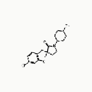 CC1(Cc2ccc(Cl)cc2Cl)CCN(C2CCC(O)CC2)C1=O